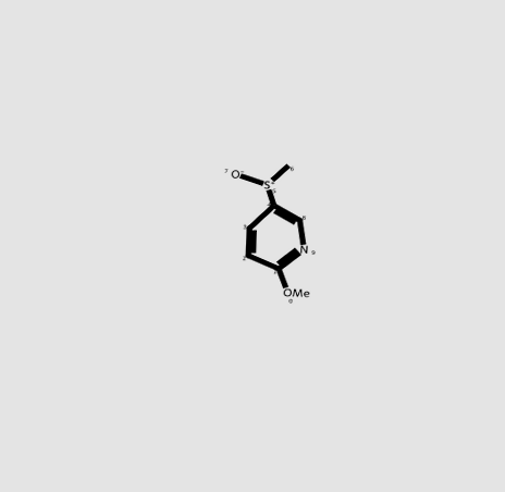 COc1ccc([S+](C)[O-])cn1